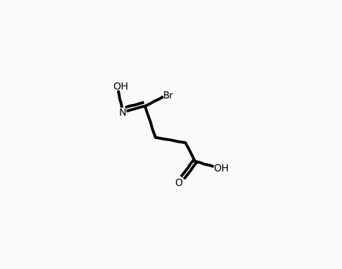 O=C(O)CCC(Br)=NO